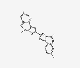 Cc1ccc2c(c1)cc(C)c1oc(-c3cc4c(o3)c(C)cc3cc(C)ccc34)cc12